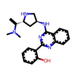 C=C([C@H]1C[C@H](Nc2nc(-c3ccccc3O)nc3ccccc23)CN1)N(C)C